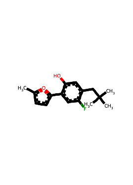 Cc1ccc(-c2cc(F)c(CC(C)(C)C)cc2O)o1